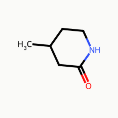 CC1CCNC(=O)C1